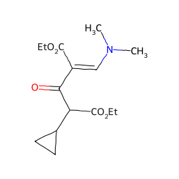 CCOC(=O)C(=CN(C)C)C(=O)C(C(=O)OCC)C1CC1